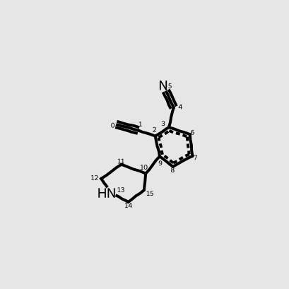 C#Cc1c(C#N)cccc1C1CCNCC1